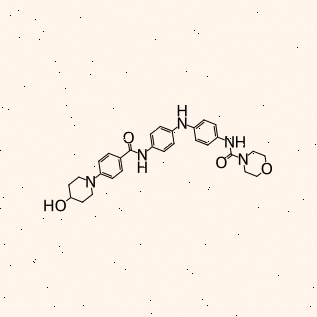 O=C(Nc1ccc(Nc2ccc(NC(=O)N3CCOCC3)cc2)cc1)c1ccc(N2CCC(O)CC2)cc1